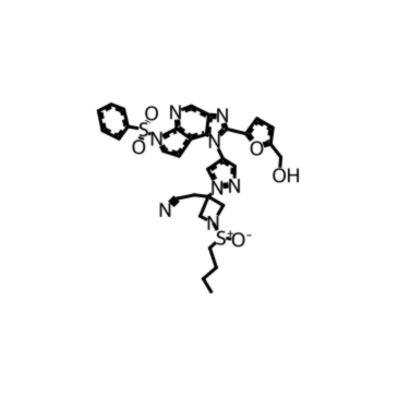 CCCC[S+]([O-])N1CC(CC#N)(n2cc(-n3c(-c4ccc(CO)o4)nc4cnc5c(ccn5S(=O)(=O)c5ccccc5)c43)cn2)C1